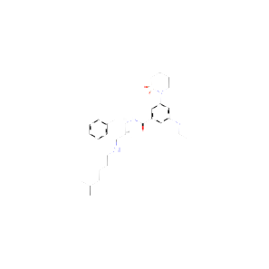 CCNc1cc(C(=O)N[C@@H](Cc2ccccc2)[C@H](O)CNCCCCC(C)C)cc(N2CCCCS2(=O)=O)c1